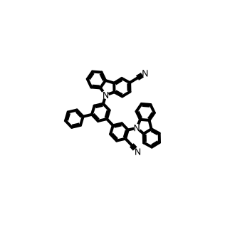 N#Cc1ccc2c(c1)c1ccccc1n2-c1cc(-c2ccccc2)cc(-c2ccc(C#N)c(-n3c4ccccc4c4ccccc43)c2)c1